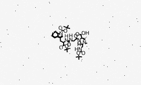 C[C@@H](C(NC(=O)CNC(=O)NC(Cc1cn(C(=O)OC(C)(C)C)c2ccccc12)C(=O)OC(C)(C)C)C(=O)O)N(C)C(=O)CNC(=O)OC(C)(C)C